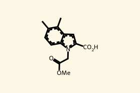 COC(=O)Cn1c(C(=O)O)cc2c(C)c(C)ccc21